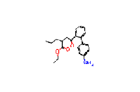 CCCC(CC(=O)c1ccccc1-c1ccc(N)cc1)C(=O)OCC